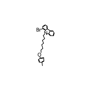 Cc1ccc(OCCCCCCCCn2c3ccccc3c3cccc(Br)c32)cc1